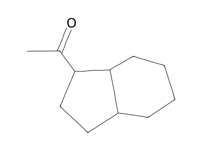 CC(=O)C1CCC2CCCCC21